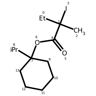 CCC(C)(I)C(=O)OC1(C(C)C)CCCCC1